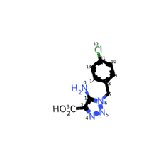 Nc1c(C(=O)O)nnn1Cc1ccc(Cl)cc1